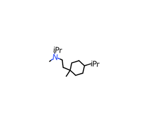 CC(C)C1CCC(C)(CCN(C)C(C)C)CC1